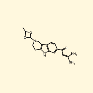 CC1OC(N2CCc3[nH]c4cc(C(=O)N=C(N)N)ccc4c3C2)O1